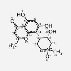 Cc1cc(=O)c2c(O)cc(O)c([C@H]3CC[N+](C)([O-])C[C@H]3O)c2o1